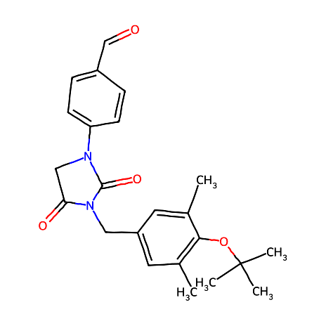 Cc1cc(CN2C(=O)CN(c3ccc(C=O)cc3)C2=O)cc(C)c1OC(C)(C)C